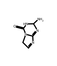 NC1N=C2N=CCN2C(=O)N1